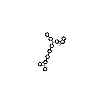 c1ccc(-c2ccc(N(c3ccc(-c4ccc(-c5ccc(-c6ccc7c(c6)c6ccccc6n7-c6ccccc6)cc5)cc4)cc3)c3ccc4c(c3)oc3ccc5ccccc5c34)cc2)cc1